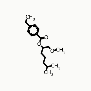 CCc1ccc(C(=O)OC(CCCC(C)C)COC)cc1